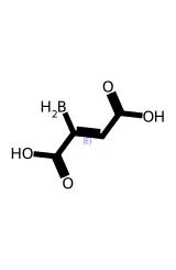 B/C(=C\C(=O)O)C(=O)O